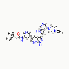 CC(C)CC(=O)Nc1cncc(-c2cnc3[nH]nc(-c4cc5c(N6CCN(C)CC6)cncc5[nH]4)c3c2)c1